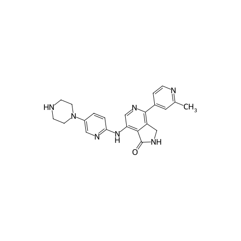 Cc1cc(-c2ncc(Nc3ccc(N4CCNCC4)cn3)c3c2CNC3=O)ccn1